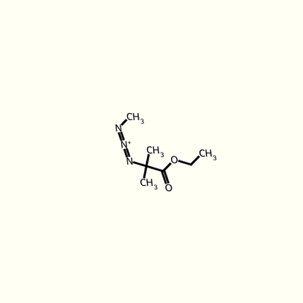 CCOC(=O)C(C)(C)N=[N+]=NC